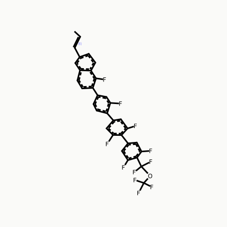 C/C=C/c1ccc2c(F)c(-c3ccc(-c4cc(F)c(-c5cc(F)c(C(F)(F)OC(F)(F)F)c(F)c5)c(F)c4)c(F)c3)ccc2c1